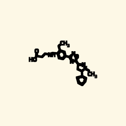 CCc1cc(-c2noc(C3=NN(CC)C(c4ccccc4)C3)n2)ccc1CNCCC(=O)O